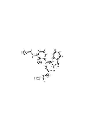 C=CCc1cccc(C=[N+]2C(CC(=O)NN)=Nc3ccccc32)c1O.Cl